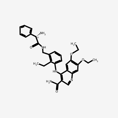 CCOc1cc2ncc(C(N)=O)c(Nc3cccc(CNC(=O)[C@@H](N)c4ccccc4)c3CC)c2cc1OCC